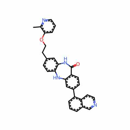 Cc1ncccc1OCCc1ccc2c(c1)NC(=O)c1ccc(-c3cccc4cnccc34)cc1N2